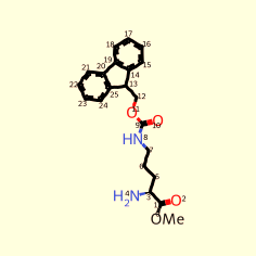 COC(=O)[C@@H](N)CCCNC(=O)OCC1c2ccccc2-c2ccccc21